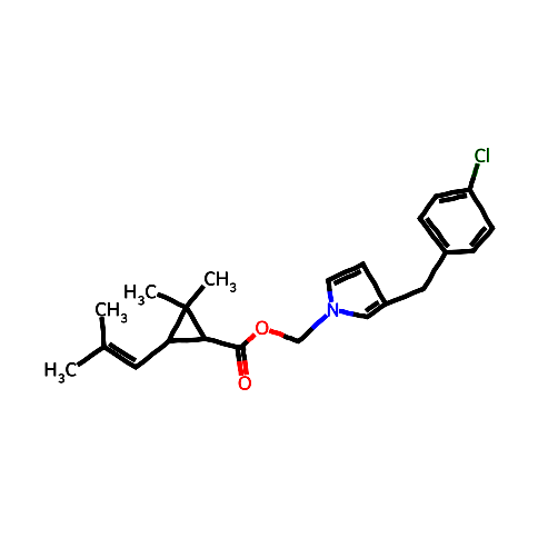 CC(C)=CC1C(C(=O)OCn2ccc(Cc3ccc(Cl)cc3)c2)C1(C)C